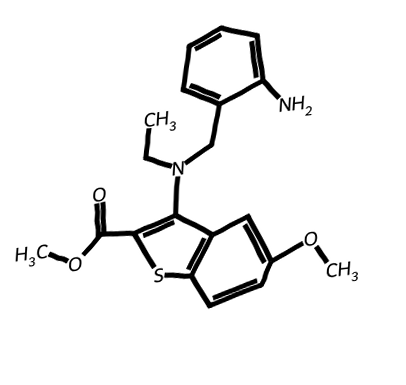 CCN(Cc1ccccc1N)c1c(C(=O)OC)sc2ccc(OC)cc12